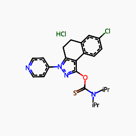 CC(C)N(C(=S)Oc1nn(-c2ccncc2)c2c1-c1ccc(Cl)cc1CC2)C(C)C.Cl